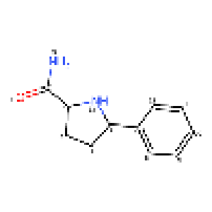 NC(=O)C1CCC(c2ccccc2)N1